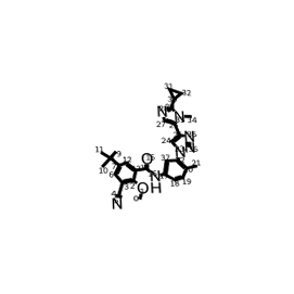 COc1c(C#N)cc(C(C)(C)C)cc1C(=O)Nc1ccc(C)c(-n2cc(-c3cnc(C4CC4)n3C)nn2)c1